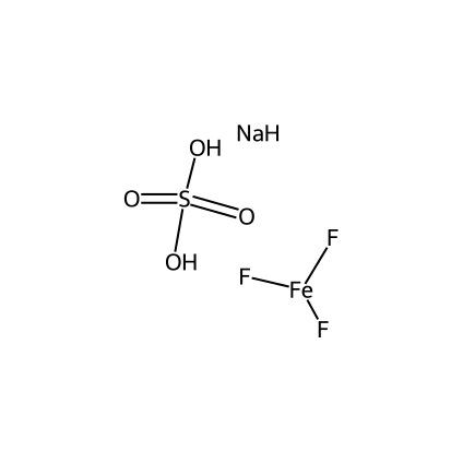 O=S(=O)(O)O.[F][Fe]([F])[F].[NaH]